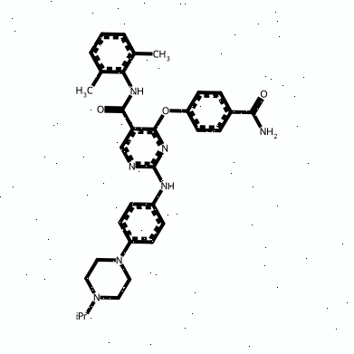 Cc1cccc(C)c1NC(=O)c1cnc(Nc2ccc(N3CCN(C(C)C)CC3)cc2)nc1Oc1ccc(C(N)=O)cc1